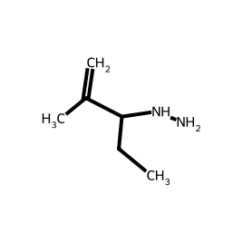 C=C(C)C(CC)NN